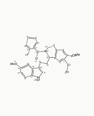 CCOc1cc2c(cc1OC)CCN([S+]([O-])c1ccccc1F)C2CCc1c[nH]c2ccc(OC)cc12